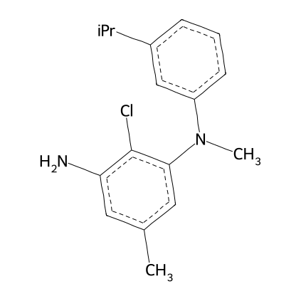 Cc1cc(N)c(Cl)c(N(C)c2cccc(C(C)C)c2)c1